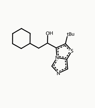 CC(C)(C)c1sc2cncn2c1C(O)CC1CCCCC1